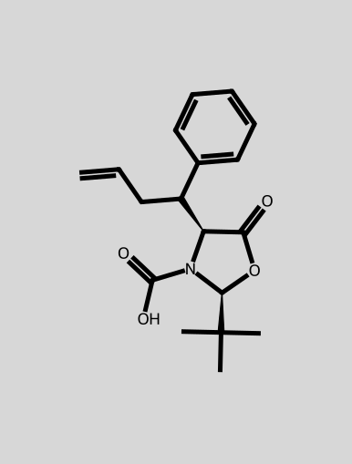 C=CCC(c1ccccc1)[C@H]1C(=O)O[C@@H](C(C)(C)C)N1C(=O)O